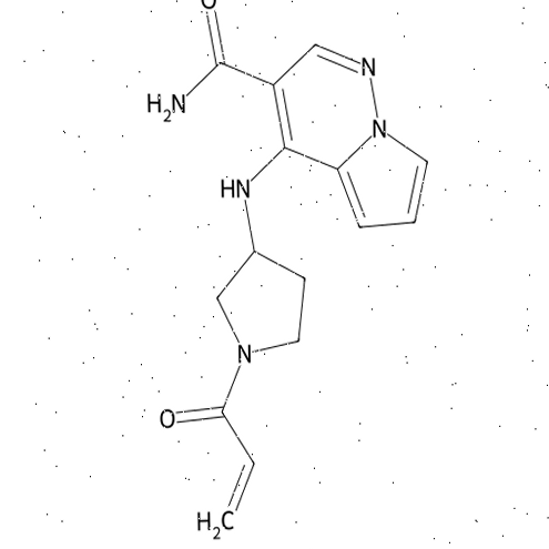 C=CC(=O)N1CCC(Nc2c(C(N)=O)cnn3cccc23)C1